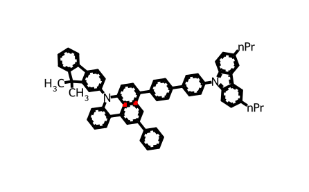 CCCc1ccc2c(c1)c1cc(CCC)ccc1n2-c1ccc(-c2ccc(-c3ccc(N(c4ccc5c(c4)C(C)(C)c4ccccc4-5)c4ccccc4-c4cccc(-c5ccccc5)c4)cc3)cc2)cc1